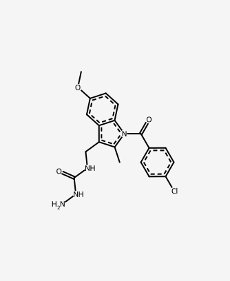 COc1ccc2c(c1)c(CNC(=O)NN)c(C)n2C(=O)c1ccc(Cl)cc1